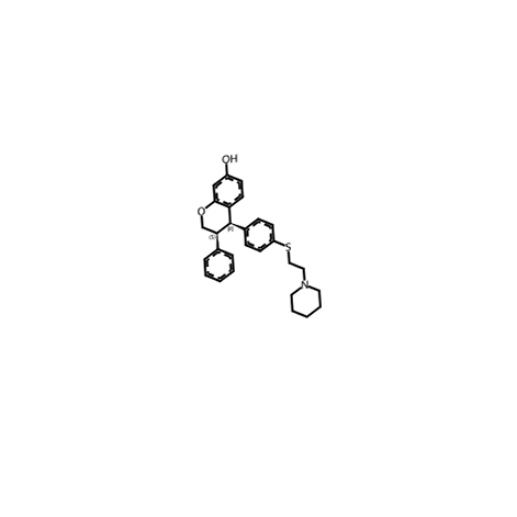 Oc1ccc2c(c1)OC[C@H](c1ccccc1)[C@@H]2c1ccc(SCCN2CCCCC2)cc1